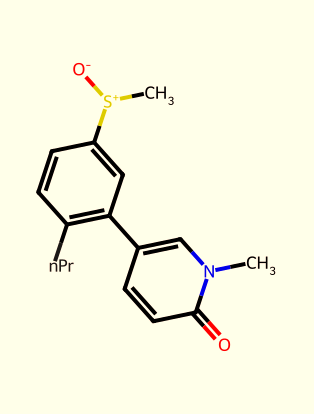 CCCc1ccc([S+](C)[O-])cc1-c1ccc(=O)n(C)c1